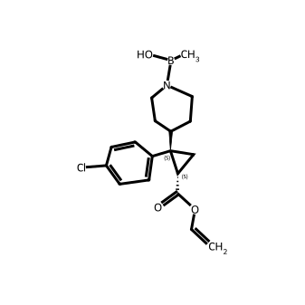 C=COC(=O)[C@H]1C[C@]1(c1ccc(Cl)cc1)C1CCN(B(C)O)CC1